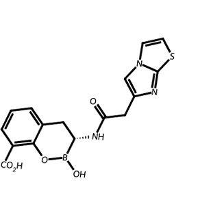 O=C(Cc1cn2ccsc2n1)N[C@H]1Cc2cccc(C(=O)O)c2OB1O